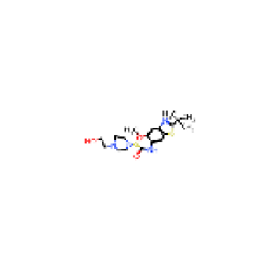 COc1cc2nc(C(C)(C)C)sc2cc1NC(=O)SN1CCN(CCO)CC1